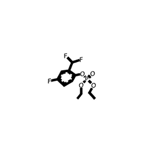 CCOP(=O)(OCC)Oc1ccc(F)cc1C(F)F